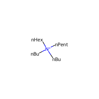 CCCCCC[N+](CCCC)(CCCC)CCCCC